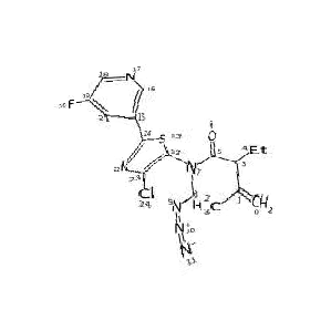 C=C(C)C(CC)C(=O)N(CN=[N+]=[N-])c1sc(-c2cncc(F)c2)nc1Cl